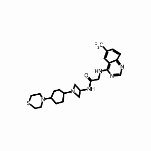 O=C(CNc1ncnc2ccc(C(F)(F)F)cc12)NC1CN(C2CCC(N3CCSCC3)CC2)C1